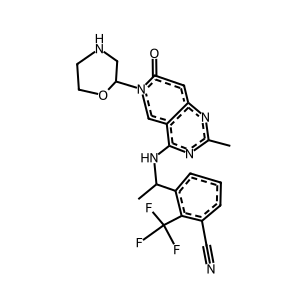 Cc1nc(NC(C)c2cccc(C#N)c2C(F)(F)F)c2cn(C3CNCCO3)c(=O)cc2n1